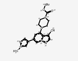 Cn1cc(-c2cc(N3CCN(C(=O)OC(C)(C)C)CC3)c3c(C#N)cnn3c2)cn1